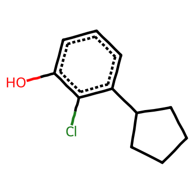 Oc1cccc(C2CCCC2)c1Cl